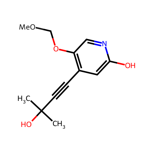 COCOc1cnc(O)cc1C#CC(C)(C)O